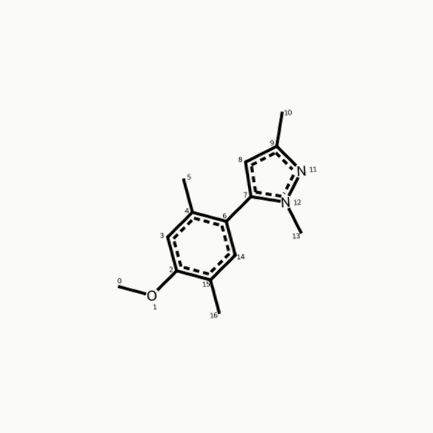 COc1cc(C)c(-c2cc(C)nn2C)cc1C